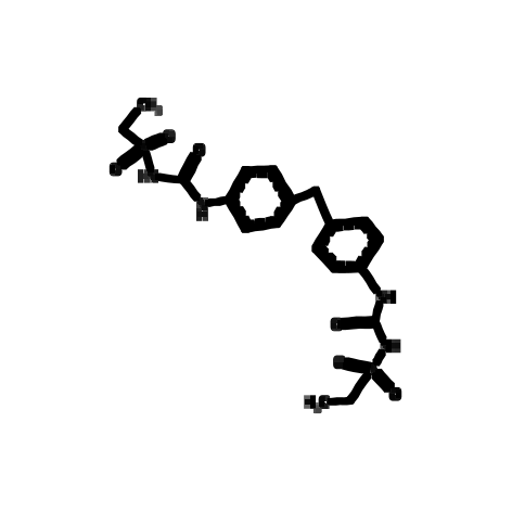 CCS(=O)(=O)NC(=O)Nc1ccc(Cc2ccc(NC(=O)NS(=O)(=O)CC)cc2)cc1